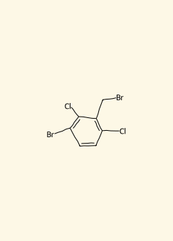 Clc1ccc(Br)c(Cl)c1CBr